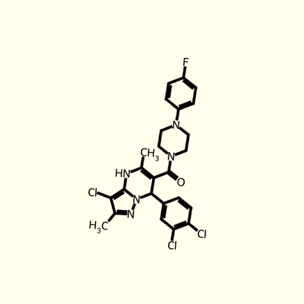 CC1=C(C(=O)N2CCN(c3ccc(F)cc3)CC2)C(c2ccc(Cl)c(Cl)c2)n2nc(C)c(Cl)c2N1